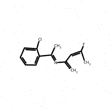 C=C(/C=C(\C)F)/N=C(\C)c1ccccc1Cl